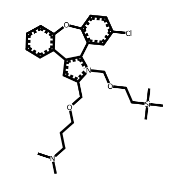 CN(C)CCCOCc1cc2c(n1COCC[Si](C)(C)C)-c1cc(Cl)ccc1Oc1ccccc1-2